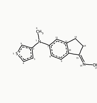 CN(c1ccsc1)c1ccc2c(c1)CCC2=NO